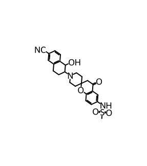 CS(=O)(=O)Nc1ccc2c(c1)C(=O)CC1(CCN(C3CCc4cc(C#N)ccc4C3O)CC1)O2